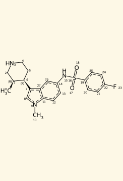 C[C@H]1CNCC[C@H]1c1cn(C)c2ccc(NS(=O)(=O)c3ccc(F)cc3)cc12